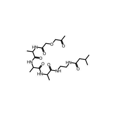 CC(=O)COCC(=O)NC(C)C(=O)NC(C)C(=O)NC(C)C(=O)NCCNC(=O)CC(C)C